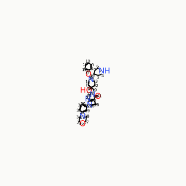 O=C([C@@H]1CCNC[C@H]1c1ccccc1)N1CCC(O)(Cn2cnc3c(ccn3-c3cccc(N4CCOCC4)c3)c2=O)CC1